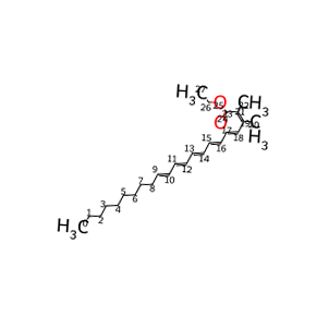 CCCCCCCCCC=CC=CC=CC=CC=CC(C)=C(C)C(=O)OCC